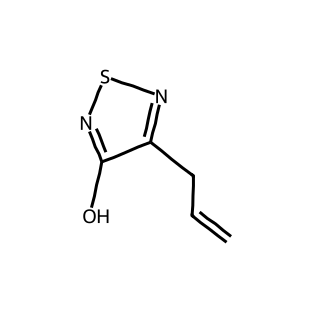 C=CCc1nsnc1O